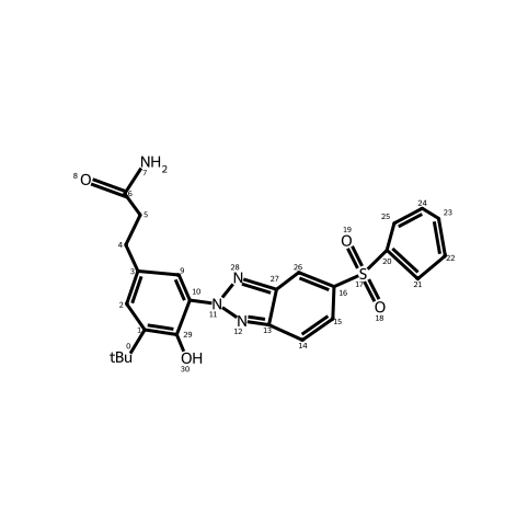 CC(C)(C)c1cc(CCC(N)=O)cc(-n2nc3ccc(S(=O)(=O)c4ccccc4)cc3n2)c1O